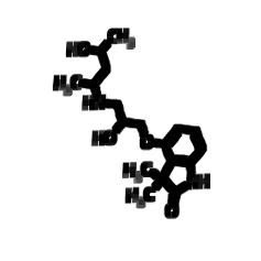 CC(O)CC(C)NCC(O)COc1cccc2c1C(C)(C)C(=O)N2